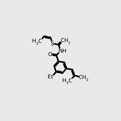 C=C(NC(=O)c1cc(C=C(C)C)cc(CC)c1)S/C=C\C